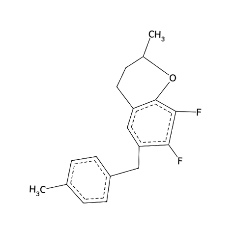 Cc1ccc(Cc2cc3c(c(F)c2F)OC(C)CC3)cc1